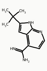 CC(C)(C)c1cc2c(C(=N)N)ccnc2[nH]1